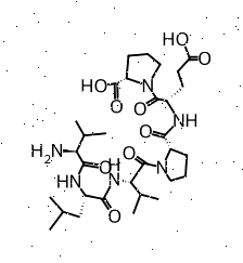 CC(C)C[C@H](NC(=O)[C@@H](N)C(C)C)C(=O)N[C@H](C(=O)N1CCC[C@H]1C(=O)N[C@@H](CCC(=O)O)C(=O)N1CCC[C@H]1C(=O)O)C(C)C